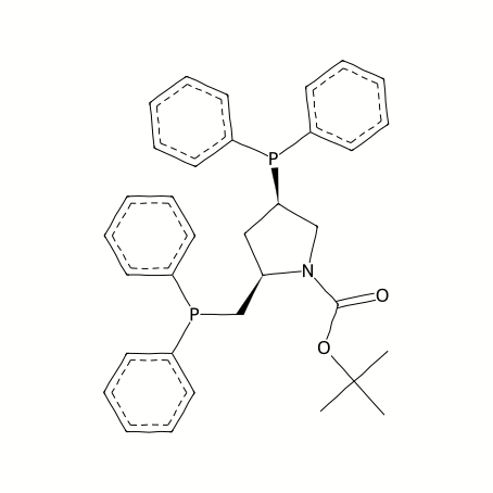 CC(C)(C)OC(=O)N1C[C@H](P(c2ccccc2)c2ccccc2)C[C@@H]1CP(c1ccccc1)c1ccccc1